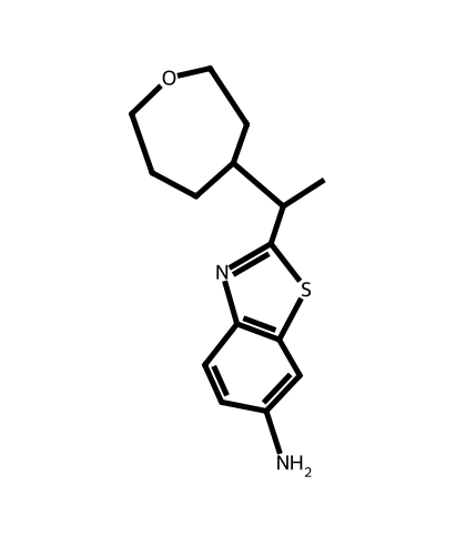 CC(c1nc2ccc(N)cc2s1)C1CCCOCC1